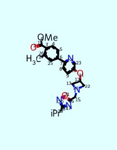 COC(=O)c1ccc(-c2ccc(OC3CN(Cc4nc(C(C)C)no4)C3)cn2)cc1C